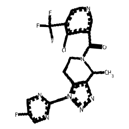 CC1c2nnn(-c3ncc(F)cn3)c2CCN1C(=O)c1cncc(C(F)(F)F)c1Cl